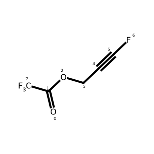 O=C(OCC#CF)C(F)(F)F